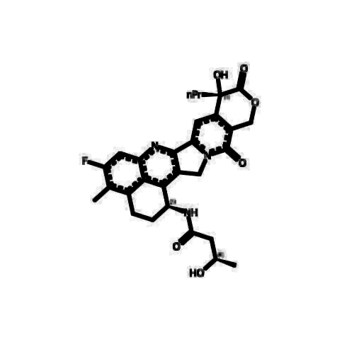 CCC[C@@]1(O)C(=O)OCc2c1cc1n(c2=O)Cc2c-1nc1cc(F)c(C)c3c1c2[C@@H](NC(=O)C[C@@H](C)O)CC3